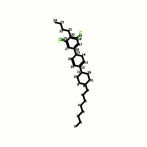 CCCCCCCCC1CCC(C2=CCC(c3cc(F)c(CCCC)c(F)c3)C=C2)CC1